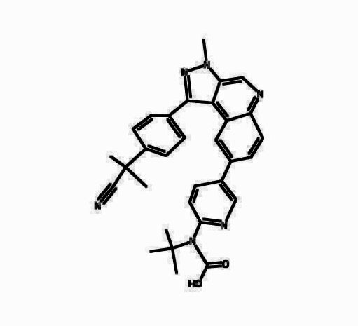 Cn1nc(-c2ccc(C(C)(C)C#N)cc2)c2c3cc(-c4ccc(N(C(=O)O)C(C)(C)C)nc4)ccc3ncc21